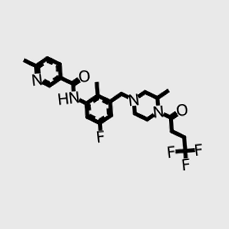 Cc1ccc(C(=O)Nc2cc(F)cc(CN3CCN(C(=O)CCC(F)(F)F)C(C)C3)c2C)cn1